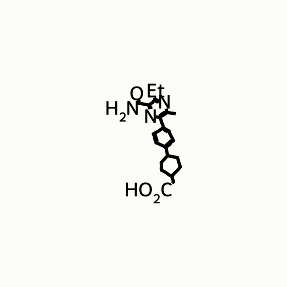 CCc1nc(C)c(-c2ccc(C3CCC(CC(=O)O)CC3)cc2)nc1C(N)=O